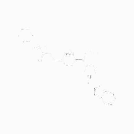 O=C(C=Cc1ccc(N(C(=O)O)[C@@H]2CCN(Cc3cc4ccccc4o3)C2)nc1)NOC1CCCCO1